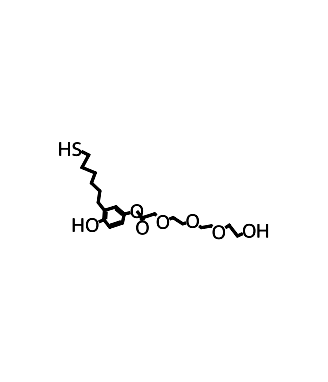 O=C(COCCOCCOCCO)Oc1ccc(O)c(CCCCCCS)c1